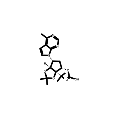 Cc1ncnc2c1ccn2[C@@H]1C[C@H](OC(=O)O)[C@@]2(C(C)(C)C)OC(C)(C)O[C@@H]12